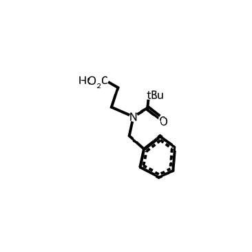 CC(C)(C)C(=O)N(CCC(=O)O)Cc1ccccc1